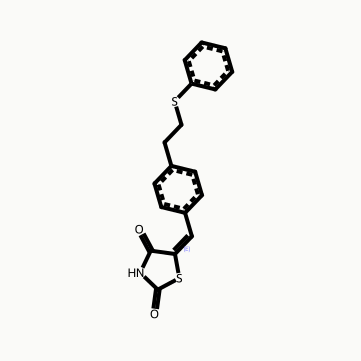 O=C1NC(=O)/C(=C\c2ccc(CCSc3ccccc3)cc2)S1